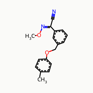 CO/N=C(/C#N)c1cccc(COc2ccc(C)cc2)c1